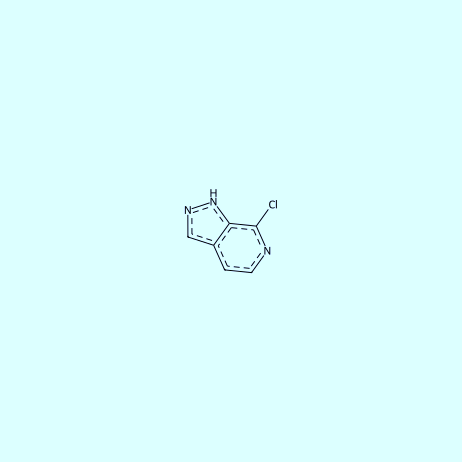 Clc1nccc2cn[nH]c12